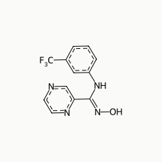 O/N=C(\Nc1cccc(C(F)(F)F)c1)c1cnccn1